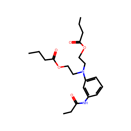 CCCC(=O)OCCN(CCOC(=O)CCC)c1cccc(NC(=O)CC)c1